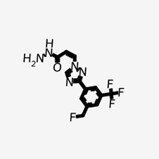 NNC(=O)/C=C\n1cnc(-c2cc(CF)cc(C(F)(F)F)c2)n1